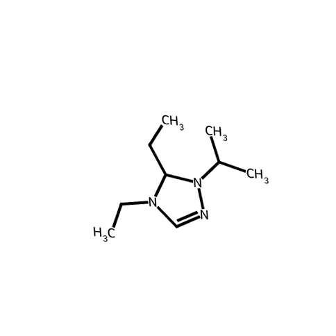 CCC1N(CC)C=NN1C(C)C